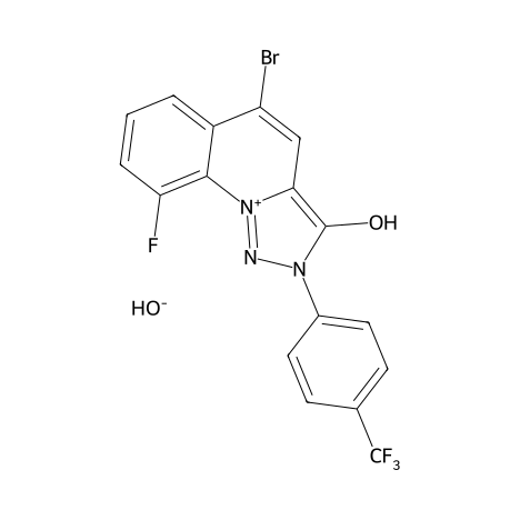 Oc1c2cc(Br)c3cccc(F)c3[n+]2nn1-c1ccc(C(F)(F)F)cc1.[OH-]